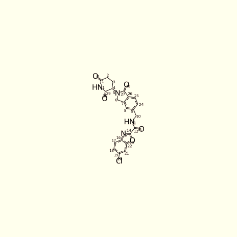 O=C1CCC(N2Cc3cc(CNC(=O)c4nc5ccc(Cl)cc5o4)ccc3C2=O)C(=O)N1